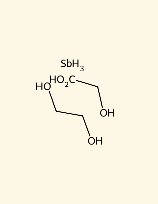 O=C(O)CO.OCCO.[SbH3]